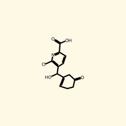 O=C1CCC=C(C(O)c2ccc(C(=O)O)nc2Cl)C1